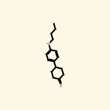 CCCCOc1ccc(C2CCC(=O)CC2)cc1